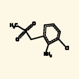 CS(=O)(=O)Cc1cccc(Cl)c1N